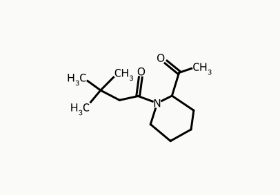 CC(=O)C1CCCCN1C(=O)CC(C)(C)C